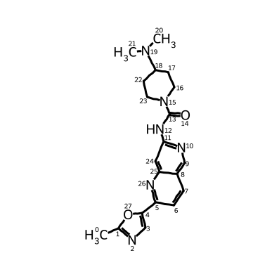 Cc1ncc(-c2ccc3cnc(NC(=O)N4CCC(N(C)C)CC4)cc3n2)o1